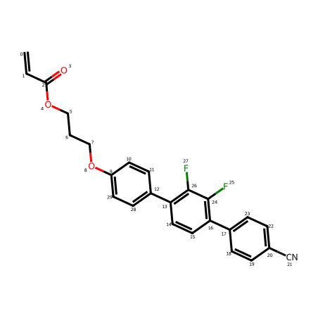 C=CC(=O)OCCCOc1ccc(-c2ccc(-c3ccc(C#N)cc3)c(F)c2F)cc1